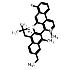 CCc1ccc2c(CC(C)(C)C)c3c(c(C)c2c1)-c1c2c(cc4c(F)cccc4c2cc[n+]1C)O3